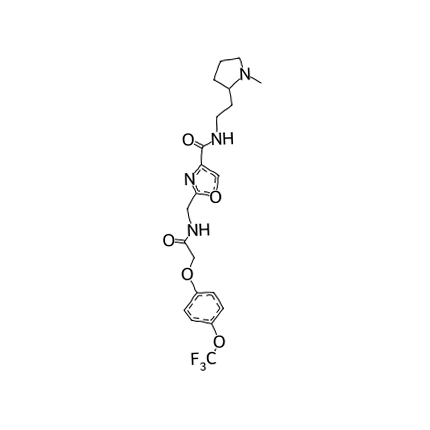 CN1CCCC1CCNC(=O)c1coc(CNC(=O)COc2ccc(OC(F)(F)F)cc2)n1